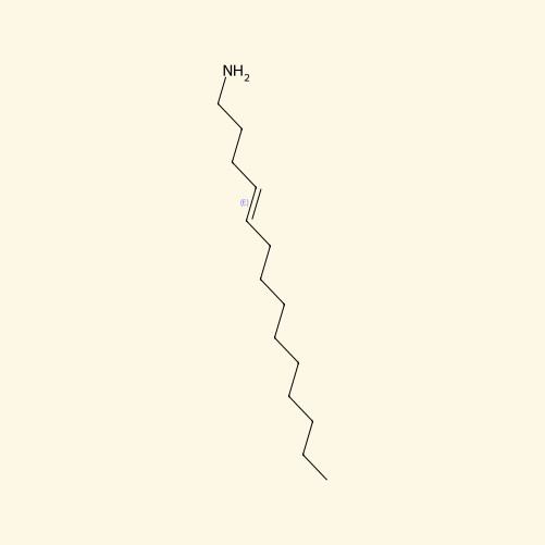 CCCCCCCCC/C=C/CCCN